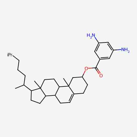 CC(C)CCCC(C)C1CCC2C3CC=C4CCC(OC(=O)c5cc(N)cc(N)c5)CC4(C)C3CCC12C